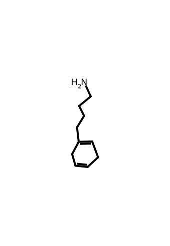 NCCCCC1=CCC=CC1